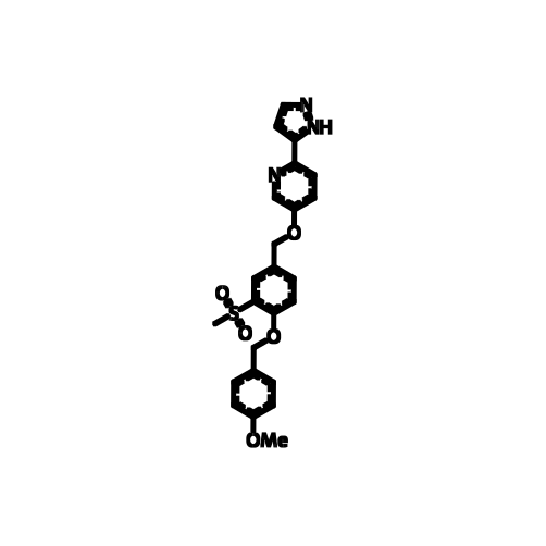 COc1ccc(COc2ccc(COc3ccc(-c4ccn[nH]4)nc3)cc2S(C)(=O)=O)cc1